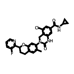 Cc1cc2c(cc1N1Cc3c(Cl)cc(C(=O)NC4CC4)cc3NC1=O)OC(c1ncccc1F)CC2